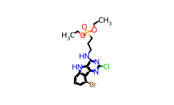 CCOP(=O)(CCCNc1nc(Cl)nc2c1[nH]c1cccc(Br)c12)OCC